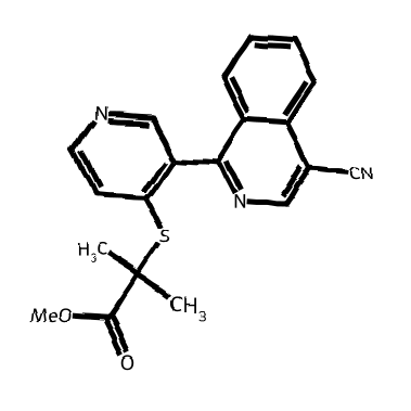 COC(=O)C(C)(C)Sc1ccncc1-c1ncc(C#N)c2ccccc12